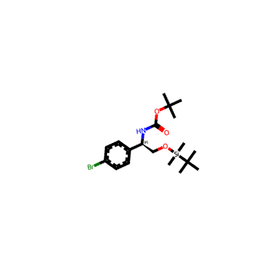 CC(C)(C)OC(=O)N[C@@H](CO[Si](C)(C)C(C)(C)C)c1ccc(Br)cc1